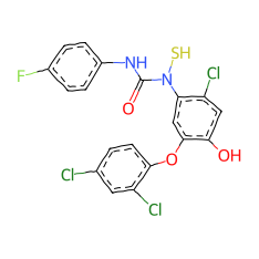 O=C(Nc1ccc(F)cc1)N(S)c1cc(Oc2ccc(Cl)cc2Cl)c(O)cc1Cl